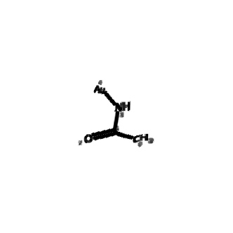 CC(=O)[NH][Au]